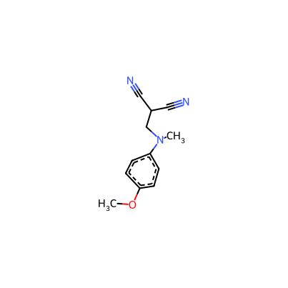 COc1ccc(N(C)CC(C#N)C#N)cc1